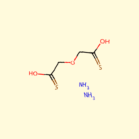 N.N.OC(=S)COCC(O)=S